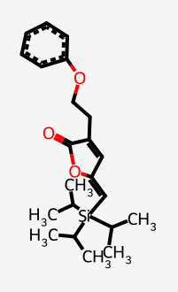 CC(C)[Si](/C=C1/C=C(CCOc2ccccc2)C(=O)O1)(C(C)C)C(C)C